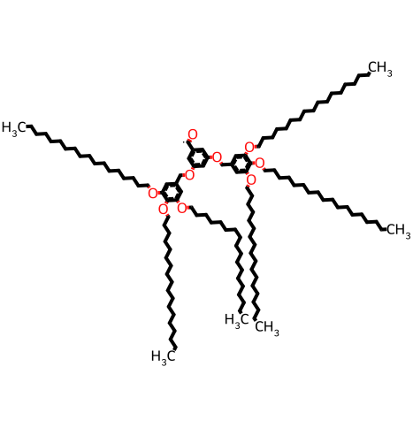 CCCCCCCCCCCCCCCCCCOc1cc(COc2cc([C]=O)cc(OCc3cc(OCCCCCCCCCCCCCCCCCC)c(OCCCCCCCCCCCCCCCCCC)c(OCCCCCCCCCCCCCCCCCC)c3)c2)cc(OCCCCCCCCCCCCCCCCCC)c1OCCCCCCCCCCCCCCCCCC